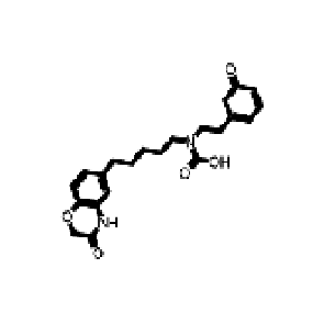 O=C1C=CC=C(CCN(CCCCCc2ccc3c(c2)NC(=O)CO3)C(=O)O)C1